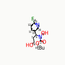 CC(C)(C)OC(=O)N(O)C(CCO)c1ccc(F)nc1